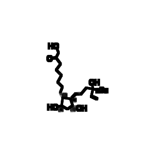 C=CC(O)(CC=C[C@@H]1[C@@H](CCCCCCC(=O)CO)[C@H](O)C[C@H]1O)CCCC